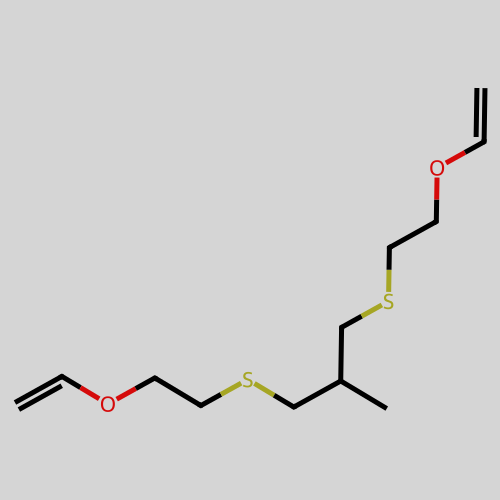 C=COCCSCC(C)CSCCOC=C